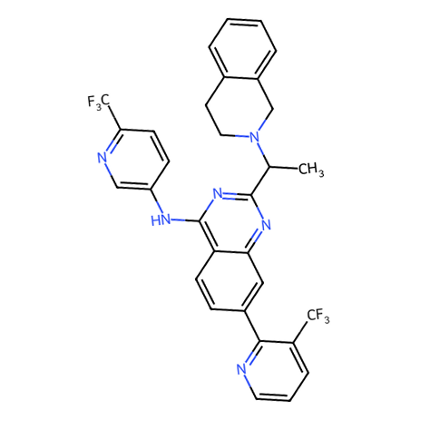 CC(c1nc(Nc2ccc(C(F)(F)F)nc2)c2ccc(-c3ncccc3C(F)(F)F)cc2n1)N1CCc2ccccc2C1